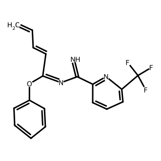 C=C/C=C/C(=N\C(=N)c1cccc(C(F)(F)F)n1)Oc1ccccc1